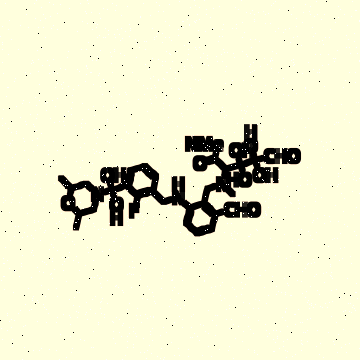 CNC(=O)C(N(C)Cc1c(C=O)cccc1NCc1cccc(C(O)(O)N2CC(C)OC(C)C2)c1F)C(O)(O)C(O)(O)C=O